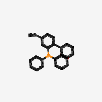 CSc1ccc(-c2ccccc2)c(P(c2ccccc2)c2ccccc2)c1